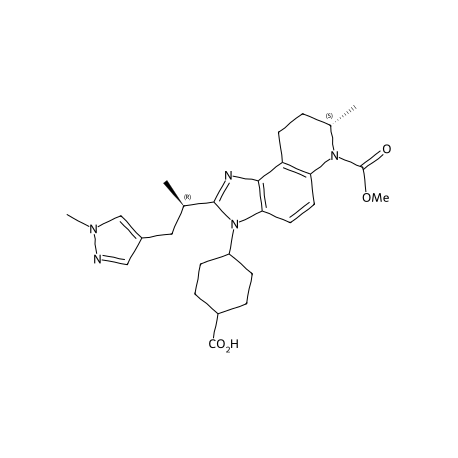 COC(=O)N1c2ccc3c(nc([C@H](C)Cc4cnn(C)c4)n3C3CCC(C(=O)O)CC3)c2CC[C@@H]1C